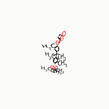 CCC(CC)(c1ccc(OCC2=CCC(=O)O2)c(C)c1)c1ccc(B2OC(C)(C)C(C)(C)O2)c(C)c1